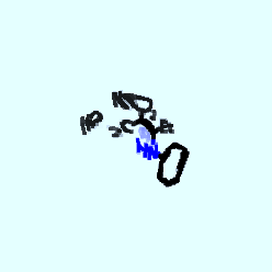 CC/C(Nc1ccccc1)=C(/C(=O)O)[N+](=O)[O-]